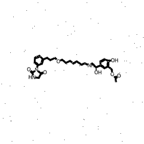 CC(=O)OCc1cc([C@@H](O)CNCCCCCCCOCCCc2cccc(N3C(=O)CNC3=O)c2)ccc1O